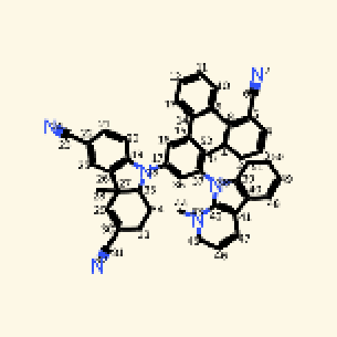 CC1CC=CC(C#N)=C1c1ccccc1-c1cc(N2c3ccc(C#N)cc3C3(C)C=C(C#N)CCC23)cc(-n2c3c(c4c2N(C)CC=C4)C=CCC3)c1